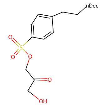 CCCCCCCCCCCCc1ccc(S(=O)(=O)OCC(=O)CO)cc1